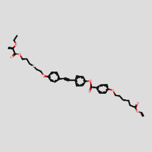 C=COC(=O)CCCCCOc1ccc(C(=O)Oc2ccc(C#Cc3ccc(OCCCCCCOC(=O)C(=C)OCC)cc3)cc2)cc1